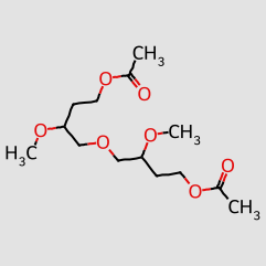 COC(CCOC(C)=O)COCC(CCOC(C)=O)OC